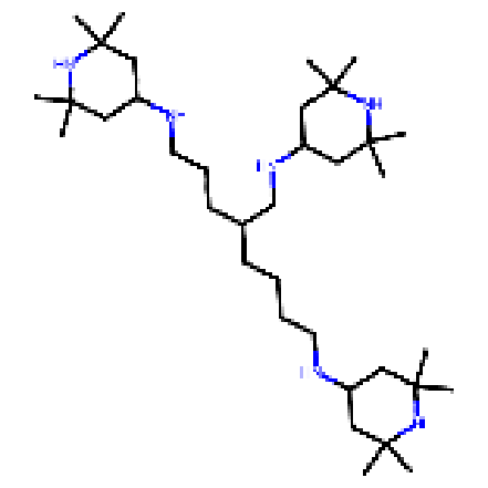 CC1(C)CC(NCCCCC(CCCNC2CC(C)(C)NC(C)(C)C2)CNC2CC(C)(C)NC(C)(C)C2)CC(C)(C)N1